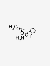 COCOC[C@@H](OC(N)=O)c1ccccc1I